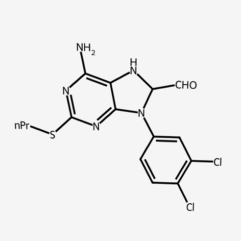 CCCSc1nc(N)c2c(n1)N(c1ccc(Cl)c(Cl)c1)C(C=O)N2